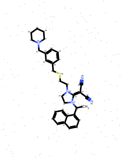 CC(c1cccc2ccccc12)N1CCN(CCSCc2cccc(CN3CCCCC3)c2)C1=C(C#N)C#N